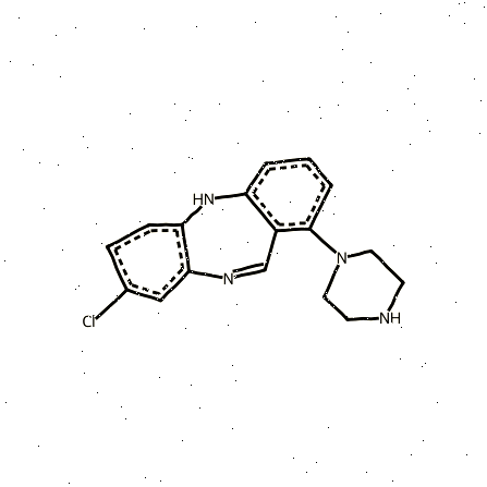 Clc1ccc2c(c1)N=Cc1c(cccc1N1CCNCC1)N2